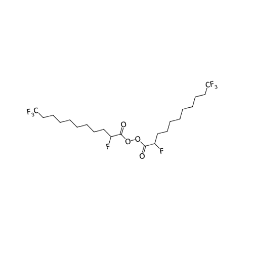 O=C(OOC(=O)C(F)CCCCCCCCC(F)(F)F)C(F)CCCCCCCCC(F)(F)F